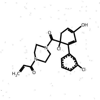 C=CC(=O)N1CCN(C(=O)C2(Cl)CC=C(O)C=C2c2cccc(Cl)c2)CC1